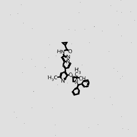 Cc1cc(-c2ccn3nc(NC(=O)C4CC4)cc3c2)c(O[C@H]2CN(C(c3ccccc3)c3ccccc3)C2(C)C)cn1